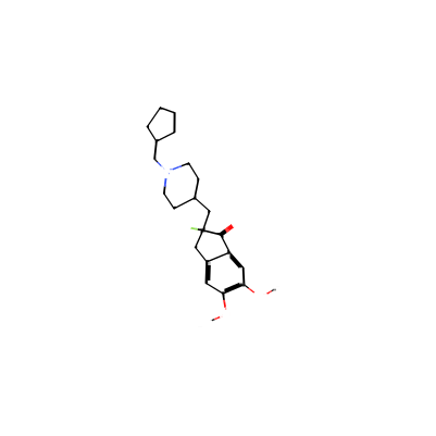 CCOc1cc2c(cc1OCC)C(=O)C(F)(CC1CCN(CC3CCCC3)CC1)C2